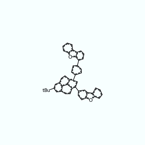 CC(C)(C)c1cc2ccc3c(-c4ccc(-c5cccc6c5oc5ccccc56)cc4)cc(-c4ccc5oc6ccccc6c5c4)c4ccc(c1)c2c34